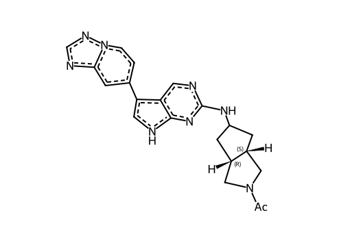 CC(=O)N1C[C@H]2CC(Nc3ncc4c(-c5ccn6ncnc6c5)c[nH]c4n3)C[C@H]2C1